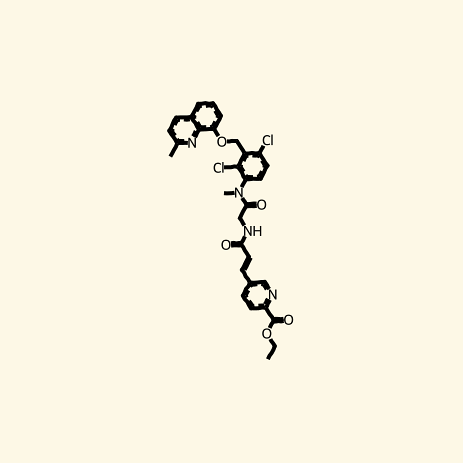 CCOC(=O)c1ccc(C=CC(=O)NCC(=O)N(C)c2ccc(Cl)c(COc3cccc4ccc(C)nc34)c2Cl)cn1